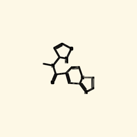 CN(C(=O)c1ccn2ccnc2c1)C1C=CON1